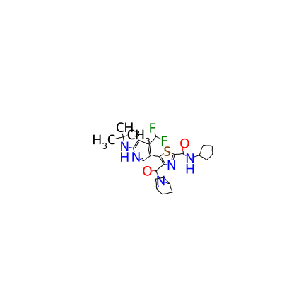 CC(C)(C)Nc1cc(C(F)F)c(-c2sc(C(=O)NC3CCCC3)nc2C(=O)N2C3CCC2CC3)cn1